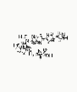 CN(c1nc2sc(-c3cnc(-c4cn[nH]c4)cn3)nc2s1)C1C[C@]2(C)CC[C@](C)(C1)N2.O=C(O)C(F)(F)F